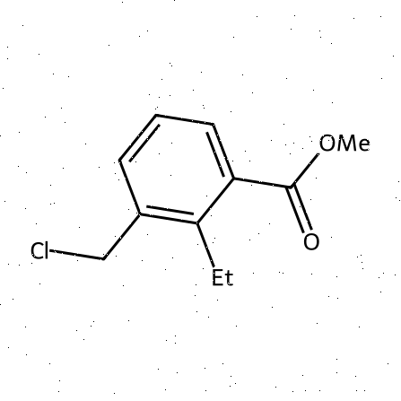 CCc1c(CCl)cccc1C(=O)OC